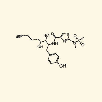 C#CCCCC(O)C(O)C(Cc1ccc(O)cc1)NC(=O)c1csc(N(C)S(C)(=O)=O)n1